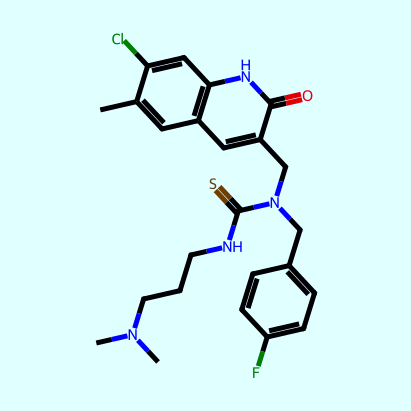 Cc1cc2cc(CN(Cc3ccc(F)cc3)C(=S)NCCCN(C)C)c(=O)[nH]c2cc1Cl